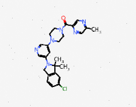 Cc1cnc(C(=O)N2CCN(c3cncc(N4Cc5ccc(Cl)cc5C4(C)C)c3)CC2)cn1